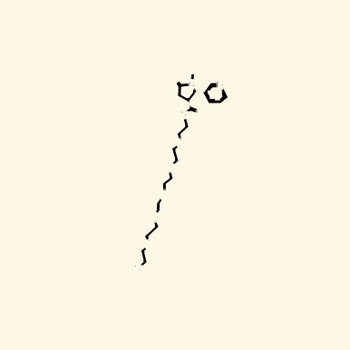 CN1C(=O)C[C@H](C(=O)NCCOCCOCCOCCOCCOCCN)[C@H]1c1cccnc1